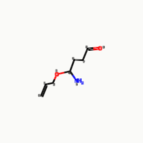 C=CCOC(N)CCC=O